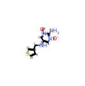 Nc1[n+]([O-])cc(NCc2ccsc2)c[n+]1[O-]